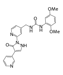 COc1ccc(OC)c(NC(=O)NCc2ccnc(-n3[nH]cc(-c4cccnc4)c3=O)c2)c1